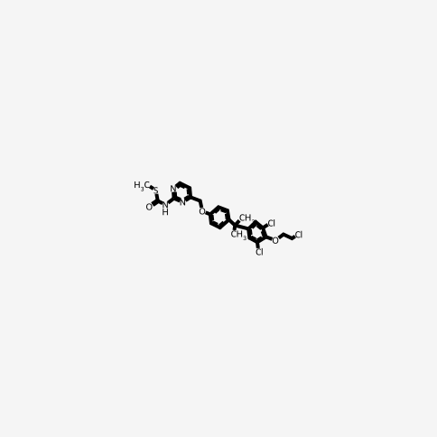 CSC(=O)Nc1nccc(COc2ccc(C(C)(C)c3cc(Cl)c(OCCCl)c(Cl)c3)cc2)n1